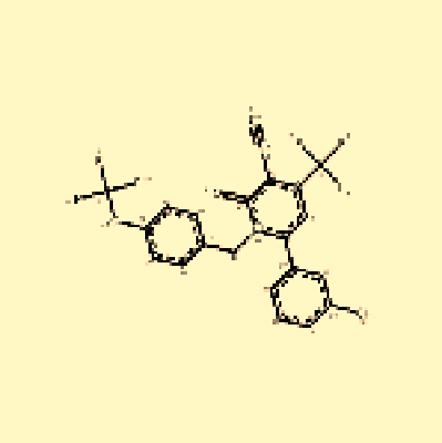 [C-]#[N+]c1c(C(F)(F)F)cc(-c2cccc(C)c2)n(Cc2ccc(OC(F)(F)F)cc2)c1=O